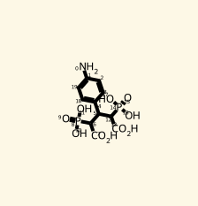 Nc1ccc(C(C(C(=O)O)P(=O)(O)O)C(C(=O)O)P(=O)(O)O)cc1